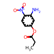 CCC(=O)Oc1ccc([N+](=O)[O-])c(N)c1